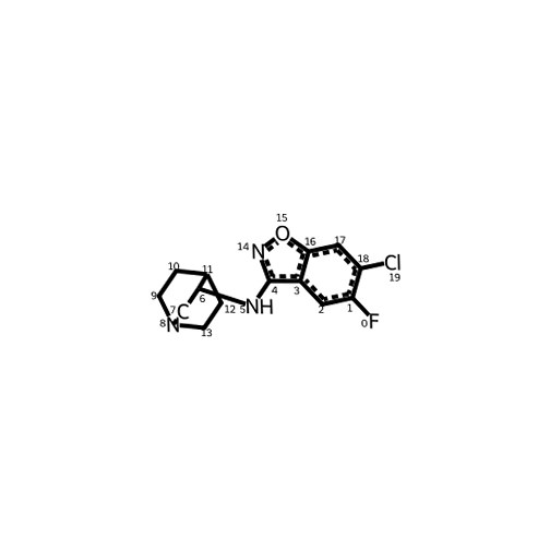 Fc1cc2c(NC3CN4CCC3CC4)noc2cc1Cl